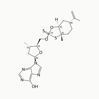 C=C(C)[C@@H]1CC[C@]2(C)S[P@@](=S)(OC[C@H]3O[C@@H](n4cnc5c(O)ncnc54)C[C@@H]3C)O[C@H]2C1